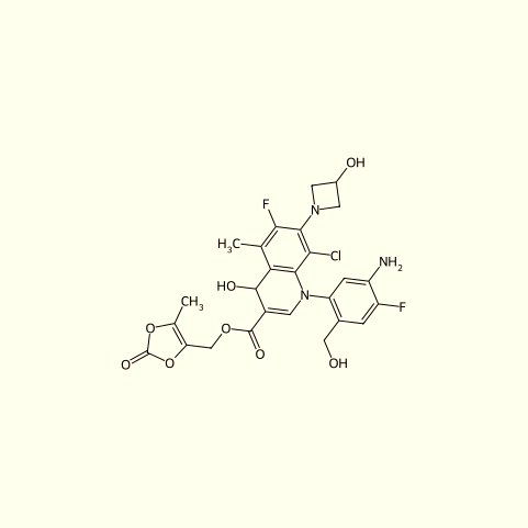 Cc1oc(=O)oc1COC(=O)C1=CN(c2cc(N)c(F)cc2CO)c2c(Cl)c(N3CC(O)C3)c(F)c(C)c2C1O